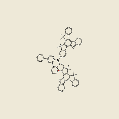 CC1(C)c2cc(N(c3ccc4c(c3)C(C)(C)c3c5c(c6c(oc7ccccc76)c3-4)-c3ccccc3C5(C)C)c3ccc(-c4ccccc4)cc3-c3ccccc3)ccc2-c2c1c1c(c3c2oc2ccccc23)-c2ccccc2C1(C)C